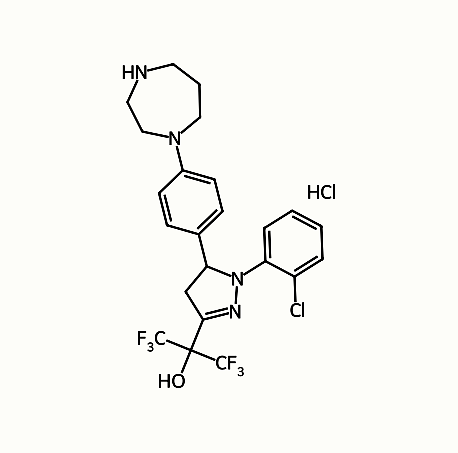 Cl.OC(C1=NN(c2ccccc2Cl)C(c2ccc(N3CCCNCC3)cc2)C1)(C(F)(F)F)C(F)(F)F